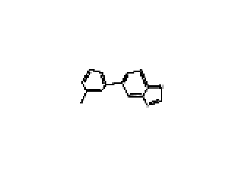 Cc1cccc(-c2ccc3[nH]cnc3c2)c1